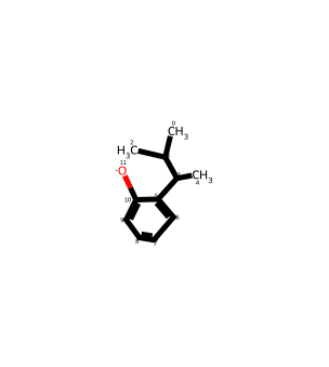 CC(C)C(C)c1c[c]ccc1[O]